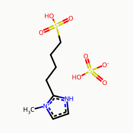 C[n+]1cc[nH]c1CCCCS(=O)(=O)O.O=S(=O)([O-])O